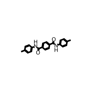 Cc1ccc(NC(=O)c2ccc(C(=O)Nc3ccc(C)cc3)cc2)cc1